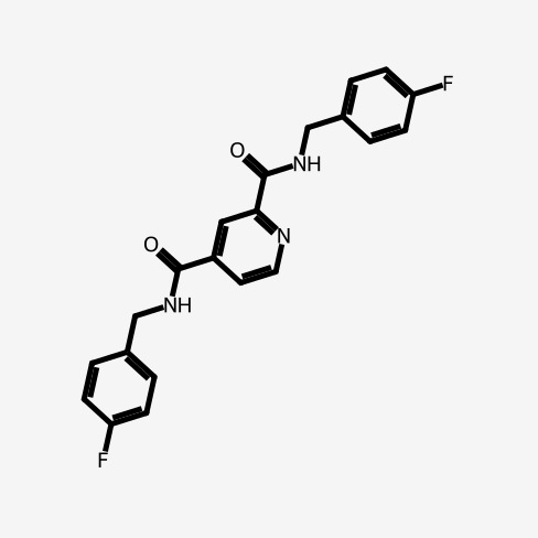 O=C(NCc1ccc(F)cc1)c1ccnc(C(=O)NCc2ccc(F)cc2)c1